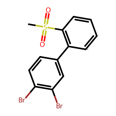 CS(=O)(=O)c1ccc[c]c1-c1ccc(Br)c(Br)c1